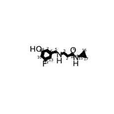 O=C(CCNCc1cc(O)cc(F)c1)NC1CC1